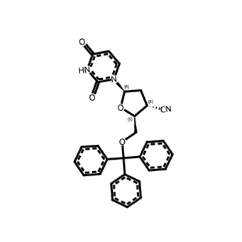 N#C[C@H]1C[C@H](n2ccc(=O)[nH]c2=O)O[C@@H]1COC(c1ccccc1)(c1ccccc1)c1ccccc1